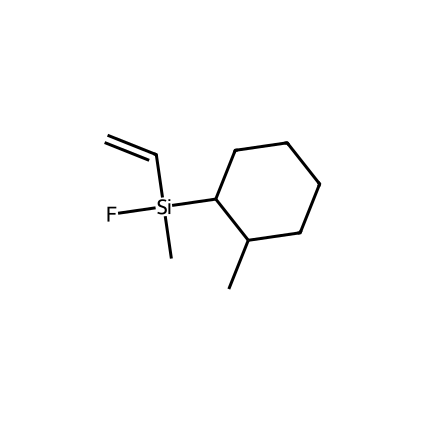 C=C[Si](C)(F)C1CCCCC1C